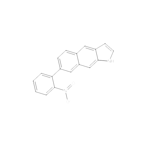 O=[N+]([O-])c1ccccc1-c1ccc2cc3cc[nH]c3cc2c1